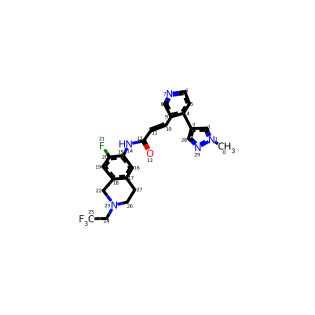 Cn1cc(-c2ccncc2C=CC(=O)Nc2cc3c(cc2F)CN(CC(F)(F)F)CC3)cn1